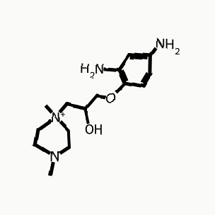 CN1CC[N+](C)(CC(O)COc2ccc(N)cc2N)CC1